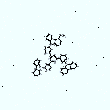 C=Cc1cccc2c1c1ccccc1n2-c1cccc(-c2cc(-c3cccc(-n4c5ccccc5c5ccccc54)c3)nc(-c3cccc(-n4c5ccccc5c5ccccc54)c3)c2)c1